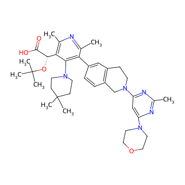 Cc1nc(N2CCOCC2)cc(N2CCc3cc(-c4c(C)nc(C)c([C@H](OC(C)(C)C)C(=O)O)c4N4CCC(C)(C)CC4)ccc3C2)n1